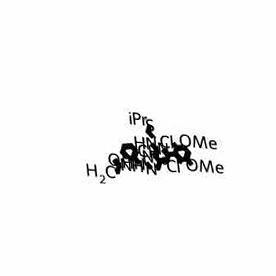 C=CC(=O)Nc1cccc(C)c1Nc1ncc2cc(-c3c(Cl)c(OC)cc(OC)c3Cl)nc(NCCSC(C)C)c2n1